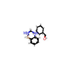 O=CC1CCCCC1.c1ccc2c(c1)NCNS2